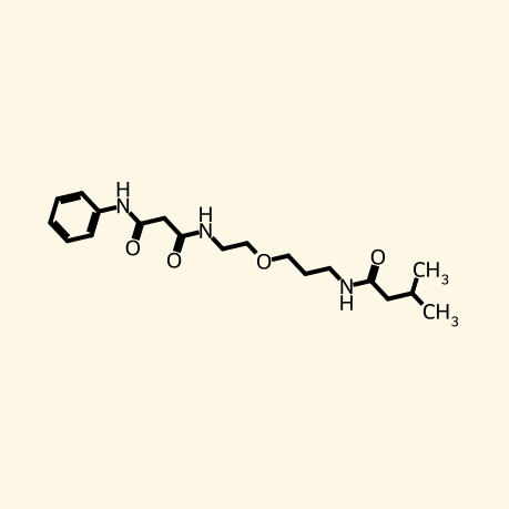 CC(C)CC(=O)NCCCOCCNC(=O)CC(=O)Nc1ccccc1